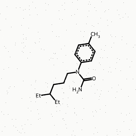 CCC(CC)CCCN(C(N)=O)c1ccc(C)cc1